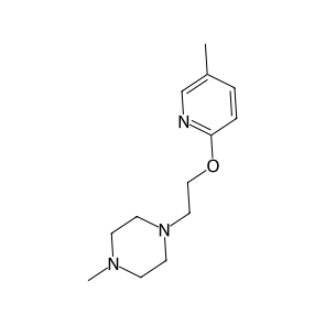 Cc1ccc(OCCN2CCN(C)CC2)nc1